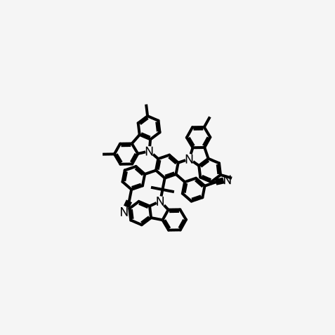 Cc1ccc2c(c1)c1cc(C)ccc1n2-c1cc(-n2c3ccc(C)cc3c3cc(C)ccc32)c(-c2cccc(C#N)c2)c(C(C)(C)n2c3ccccc3c3ccccc32)c1-c1cccc(C#N)c1